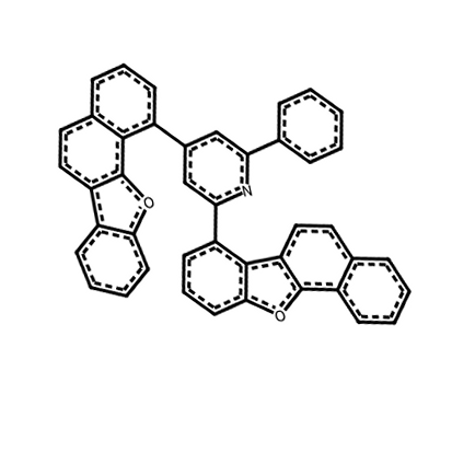 c1ccc(-c2cc(-c3cccc4ccc5c6ccccc6oc5c34)cc(-c3cccc4oc5c6ccccc6ccc5c34)n2)cc1